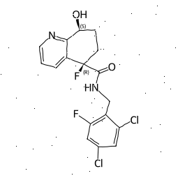 O=C(NCc1c(F)cc(Cl)cc1Cl)[C@@]1(F)CC[C@H](O)c2ncccc21